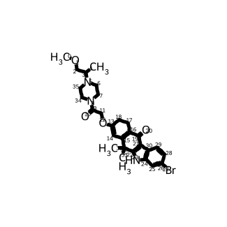 COCC(C)N1CCN(C(=O)COC2=CC3=C(CC2)C(=O)c2c([nH]c4cc(Br)ccc24)C3(C)C)CC1